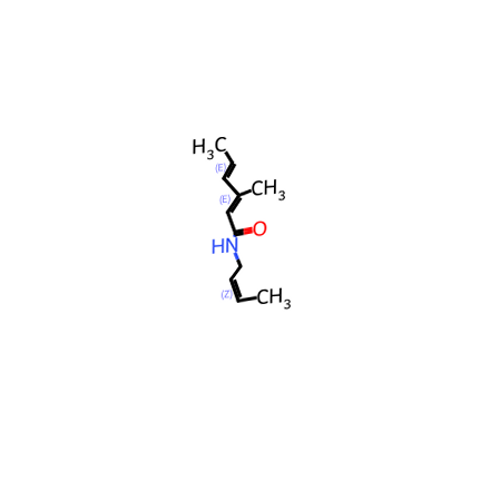 C/C=C\CNC(=O)/C=C(C)/C=C/C